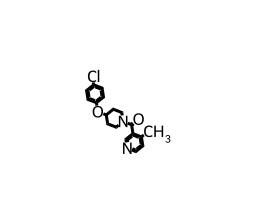 Cc1ccncc1C(=O)N1CCC(Oc2ccc(Cl)cc2)CC1